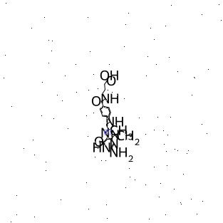 C=Nc1nc(N)[nH]c(=O)c1/N=C(\C)CNc1ccc(C(=O)NCCCC(=O)O)cc1